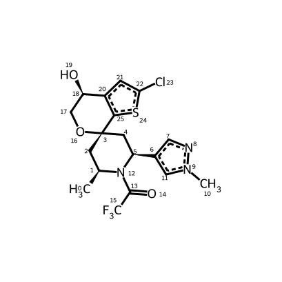 C[C@H]1C[C@@]2(C[C@@H](c3cnn(C)c3)N1C(=O)C(F)(F)F)OC[C@@H](O)c1cc(Cl)sc12